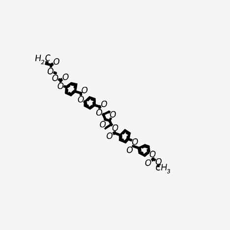 C=CC(=O)OCOC(=O)Oc1ccc(C(=O)Oc2ccc(C(=O)OC3COC4C(OC(=O)c5ccc(OC(=O)c6ccc(OC(=O)OC)cc6)cc5)COC34)cc2)cc1